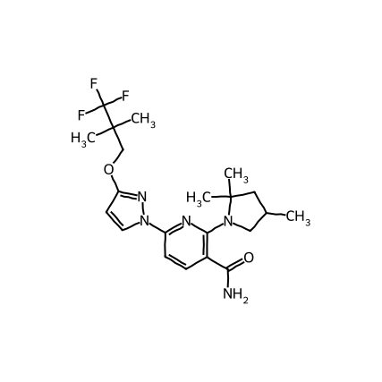 CC1CN(c2nc(-n3ccc(OCC(C)(C)C(F)(F)F)n3)ccc2C(N)=O)C(C)(C)C1